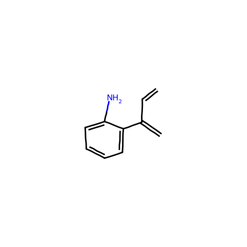 C=CC(=C)c1ccccc1N